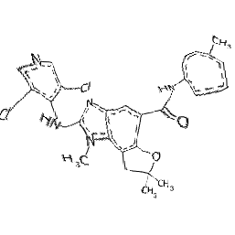 Cc1cccc(NC(=O)c2cc3nc(Nc4c(Cl)cncc4Cl)n(C)c3c3c2OC(C)(C)C3)c1